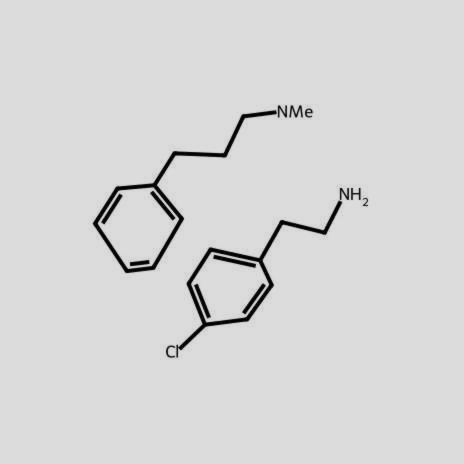 CNCCCc1ccccc1.NCCc1ccc(Cl)cc1